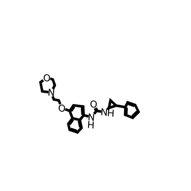 O=C(Nc1ccc(OCCN2CCOCC2)c2ccccc12)NC1CC1c1ccccc1